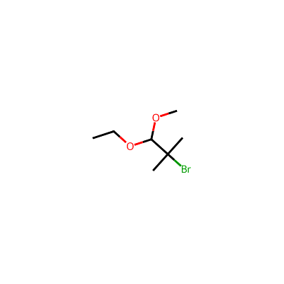 CCOC(OC)C(C)(C)Br